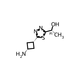 C[C@@H](O)c1nnc([C@H]2C[C@@H](N)C2)s1